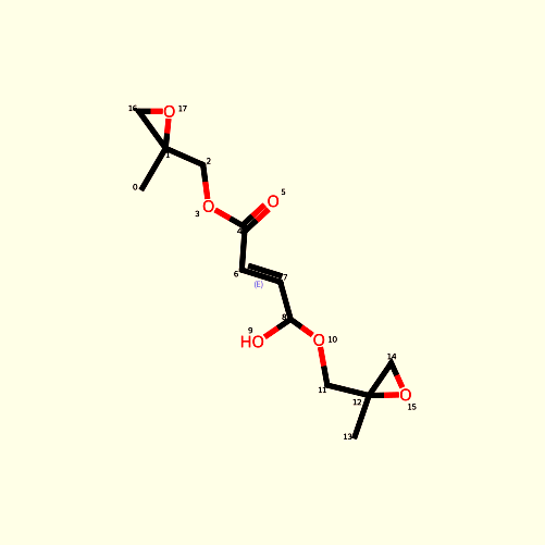 CC1(COC(=O)/C=C/C(O)OCC2(C)CO2)CO1